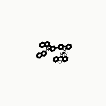 c1ccc2c(c1)Oc1cccc3nc(-n4c5ccccc5c5ccc(-c6ccc7c(c6)c6ccc8ccccc8c6n7-c6ccc7ccccc7c6)cc54)nc-2c13